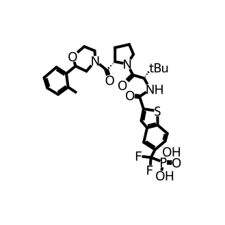 Cc1ccccc1C1CN(C(=O)[C@@H]2CCCN2C(=O)[C@@H](NC(=O)c2cc3cc(C(F)(F)P(=O)(O)O)ccc3s2)C(C)(C)C)CCO1